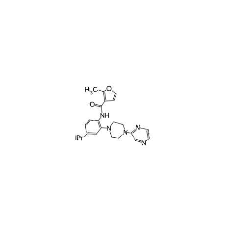 Cc1occc1C(=O)Nc1ccc(C(C)C)cc1N1CCN(c2cnccn2)CC1